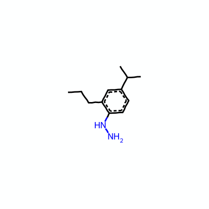 CCCc1cc(C(C)C)ccc1NN